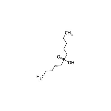 CCCC=CP(=O)(O)CCCCC